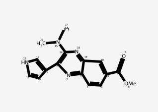 COC(=O)c1ccc2nc(-c3cc[nH]c3)c(N(C)C(C)C)nc2c1